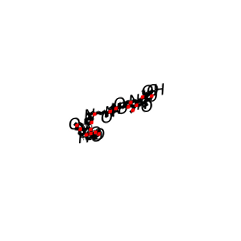 CCc1c2c(nc3ccc(OC(=O)N4CCN(C(=O)CCCCCN(C)c5ccc([C@H]6C[C@@]7(C)[C@@H](CC[C@]7(OC(C)=O)C(C)=O)C7CCC8=CC(=O)CCC8=C76)cc5)CC4)cc13)-c1cc3c(c(=O)n1C2)COC(=O)[C@]3(O)CC